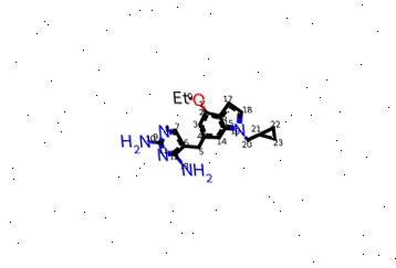 CCOc1cc(Cc2cnc(N)nc2N)cc2c1ccn2CC1CC1